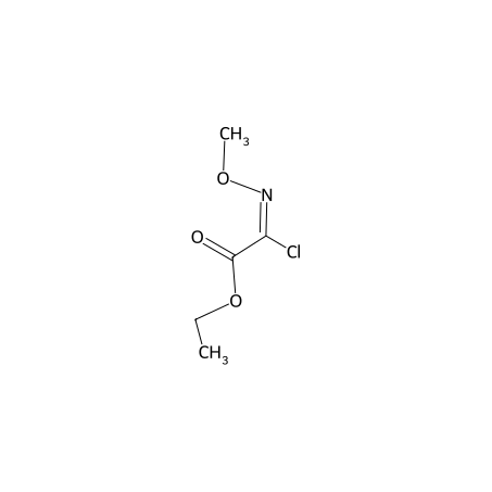 CCOC(=O)/C(Cl)=N\OC